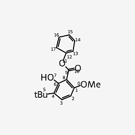 COc1ccc(C(C)(C)C)c(O)c1C(=O)Oc1ccccc1